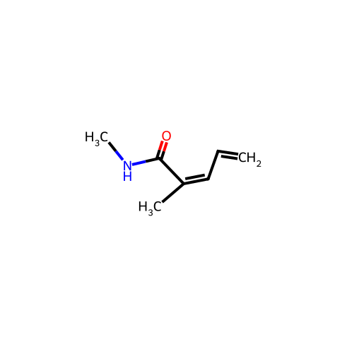 C=C/C=C(/C)C(=O)NC